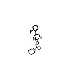 O=C(COc1ncc(-c2ccccc2F)cn1)N1CCCCC1